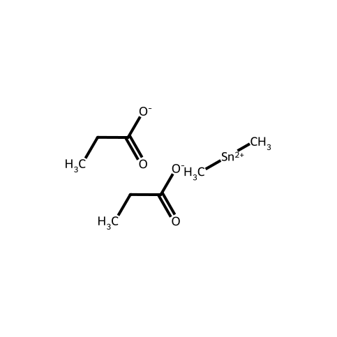 CCC(=O)[O-].CCC(=O)[O-].[CH3][Sn+2][CH3]